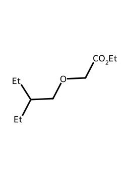 CCOC(=O)COCC(CC)CC